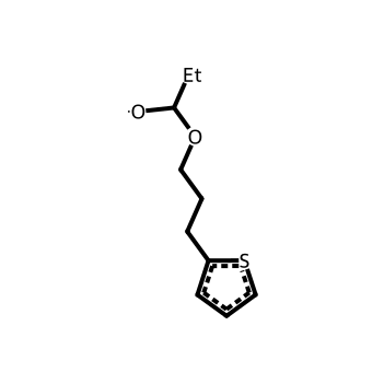 CCC([O])OCCCc1cccs1